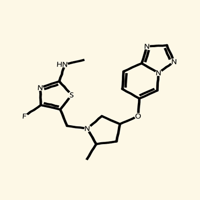 CNc1nc(F)c(CN2CC(Oc3ccc4ncnn4c3)CC2C)s1